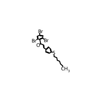 CCCCCCCSc1ccc(C=CC(=O)c2c(Br)cc(Br)cc2Br)cc1